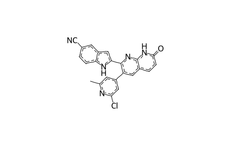 Cc1cc(-c2cc3ccc(=O)[nH]c3nc2-c2cc3cc(C#N)ccc3[nH]2)cc(Cl)n1